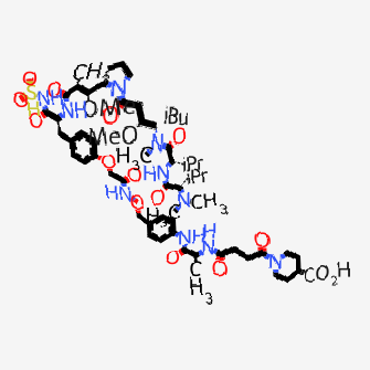 CC[C@H](C)[C@@H]([C@@H](CC(=O)N1CCC[C@H]1[C@H](OC)[C@@H](C)C(=O)N[C@@H](Cc1ccc(OCC(=O)NOCc2ccc(NC(=O)[C@H](C)NC(=O)CCC(=O)N3CCC(C(=O)O)CC3)cc2)cc1)C(=O)N[SH](=O)=O)OC)N(C)C(=O)[C@@H](NC(=O)[C@H](C(C)C)N(C)C)C(C)C